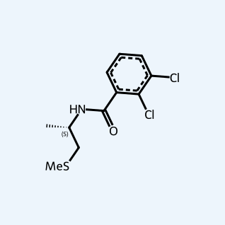 CSC[C@H](C)NC(=O)c1cccc(Cl)c1Cl